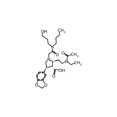 CCCCN(CCCO)C(=O)CN1C[C@H](c2ccc3c(c2)OCO3)[C@@H](C(=O)O)[C@@H]1CCN(CC)C(C)=O